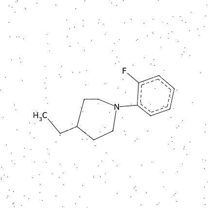 C[CH]C1CCN(c2ccccc2F)CC1